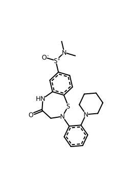 CN(C)[S+]([O-])c1ccc2c(c1)NC(=O)CN(c1ccccc1N1CCCCC1)S2